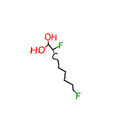 OC(O)C(F)CCCCCCCF